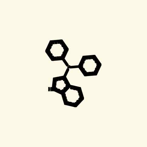 c1ccc(P(c2ccccc2)c2c[nH]c3ccccc23)cc1